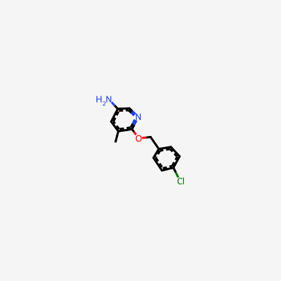 Cc1cc(N)cnc1OCc1ccc(Cl)cc1